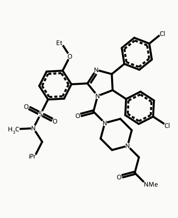 CCOc1ccc(S(=O)(=O)N(C)CC(C)C)cc1C1=NC(c2ccc(Cl)cc2)C(c2ccc(Cl)cc2)N1C(=O)N1CCN(CC(=O)NC)CC1